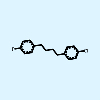 Fc1ccc(CCCCc2ccc(Cl)cc2)cc1